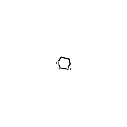 [C]1CCNNO1